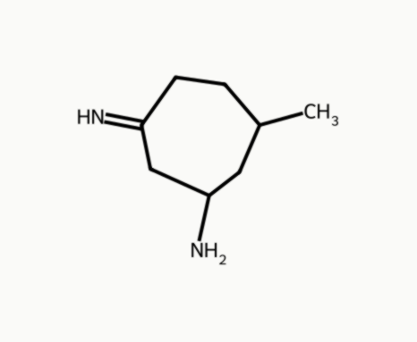 CC1CCC(=N)CC(N)C1